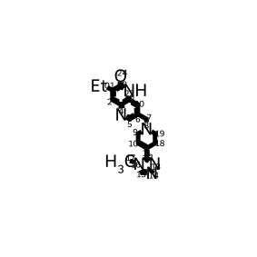 CCc1cc2ncc(CN3CC=C(c4nncn4C)CC3)cc2[nH]c1=O